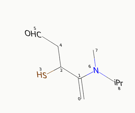 C=C(C(S)CC=O)N(C)C(C)C